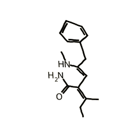 CC/C(C)=C(/C=C(/Cc1ccccc1)NC)C(N)=O